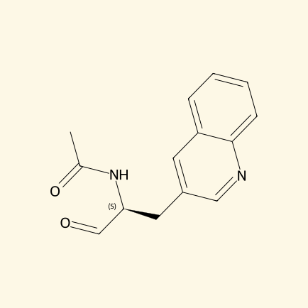 CC(=O)N[C@H](C=O)Cc1cnc2ccccc2c1